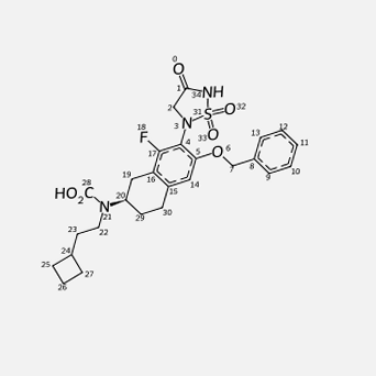 O=C1CN(c2c(OCc3ccccc3)cc3c(c2F)C[C@H](N(CCC2CCC2)C(=O)O)CC3)S(=O)(=O)N1